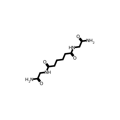 NC(=O)CNC(=O)CCCCC(=O)NCC(N)=O